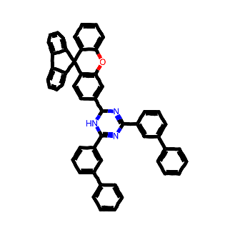 c1ccc(-c2cccc(C3=NC(c4ccc5c(c4)Oc4ccccc4C54c5ccccc5-c5ccccc54)NC(c4cccc(-c5ccccc5)c4)=N3)c2)cc1